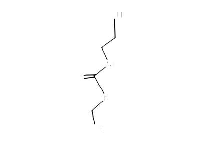 [CH2]CNC(=O)NCCC